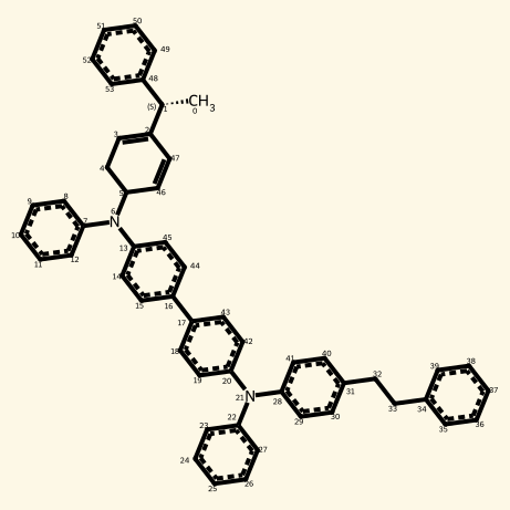 C[C@H](C1=CCC(N(c2ccccc2)c2ccc(-c3ccc(N(c4ccccc4)c4ccc(CCc5ccccc5)cc4)cc3)cc2)C=C1)c1ccccc1